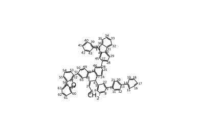 C=C/C=C\C(c1cccc(-c2ccc(-c3ccccc3)cc2)c1)c1ccc(-c2ccc3c4ccccc4n(-c4ccccc4)c3c2)cc1-c1ccc(-c2cccc3c2oc2ccccc23)cc1